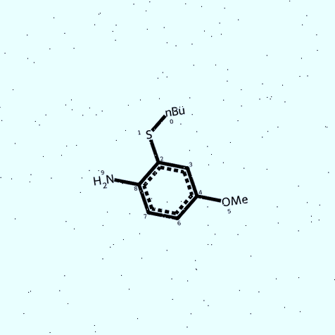 [CH2]CCCSc1cc(OC)ccc1N